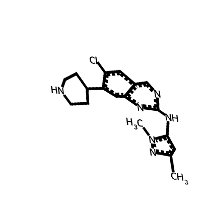 Cc1cc(Nc2ncc3cc(Cl)c(C4CCNCC4)cc3n2)n(C)n1